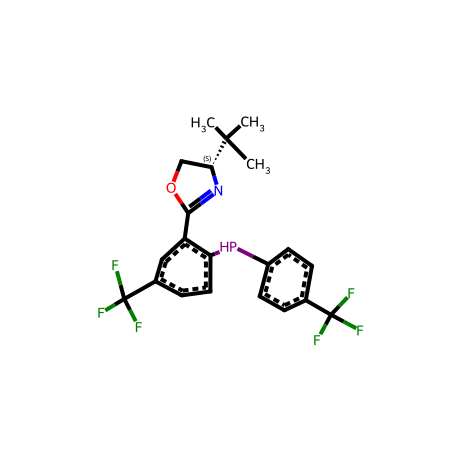 CC(C)(C)[C@H]1COC(c2cc(C(F)(F)F)ccc2Pc2ccc(C(F)(F)F)cc2)=N1